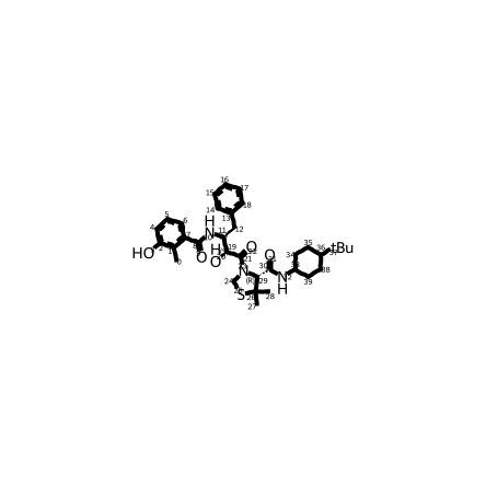 Cc1c(O)cccc1C(=O)N[C@@H](Cc1ccccc1)[C@H](O)C(=O)N1CSC(C)(C)[C@H]1C(=O)NC1CCC(C(C)(C)C)CC1